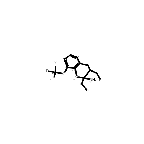 CCC1Cc2cccc(OC(F)(F)F)c2OC1(N)CC